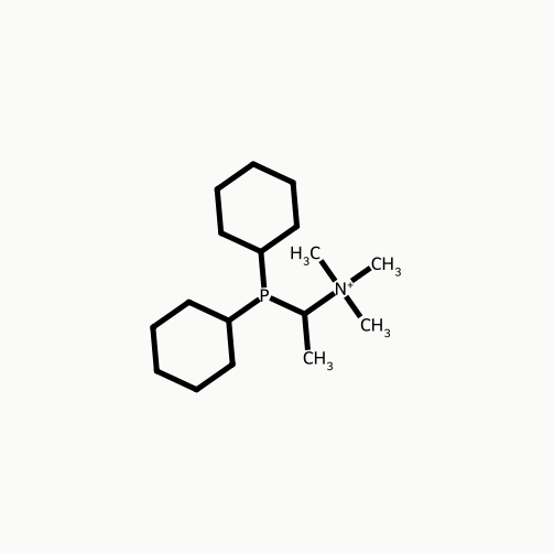 CC(P(C1CCCCC1)C1CCCCC1)[N+](C)(C)C